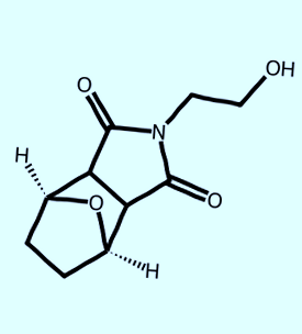 O=C1C2C(C(=O)N1CCO)[C@H]1CC[C@@H]2O1